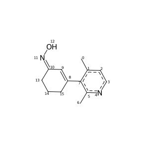 Cc1ccnc(C)c1C1=CC(=NO)CCC1